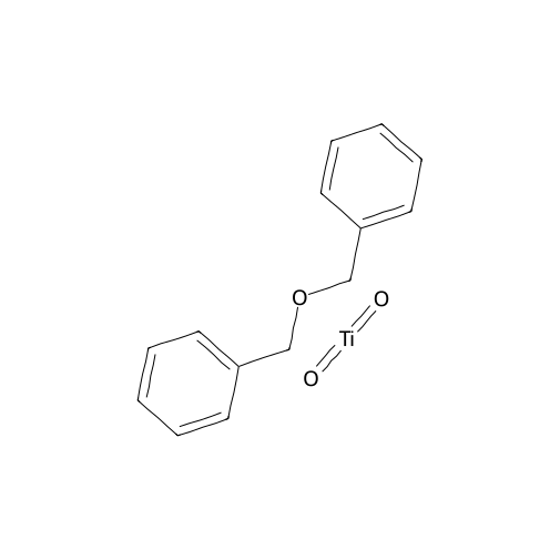 [O]=[Ti]=[O].c1ccc(COCc2ccccc2)cc1